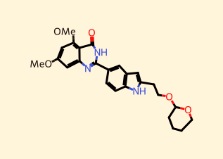 COc1cc(OC)c2c(=O)[nH]c(-c3ccc4[nH]c(CCOC5CCCCO5)cc4c3)nc2c1